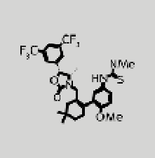 CNC(=S)Nc1ccc(OC)c(C2=C(CN3C(=O)O[C@H](c4cc(C(F)(F)F)cc(C(F)(F)F)c4)[C@@H]3C)CC(C)(C)CC2)c1